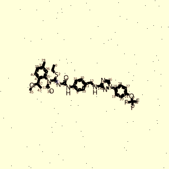 CCS/C(=N\C(=O)Nc1ccc(CNc2ncn(-c3ccc(OC(F)(F)F)cc3)n2)cc1)N(C=O)c1cc(C)ccc1C(C)OC